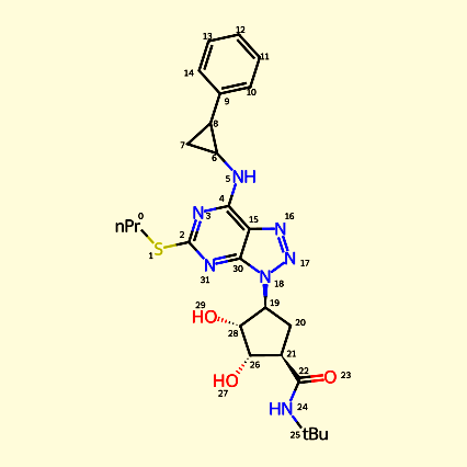 CCCSc1nc(NC2CC2c2ccccc2)c2nnn([C@H]3C[C@@H](C(=O)NC(C)(C)C)[C@H](O)[C@@H]3O)c2n1